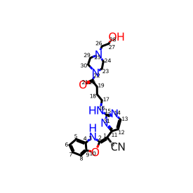 N#C/C(=C1/Nc2ccccc2O1)c1ccnc(NCCCC(=O)N2CCN(CCO)CC2)n1